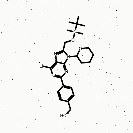 CC(C)(C)[Si](C)(C)OCc1nc2c(Cl)nc(-c3ccc(CO)cc3)nc2n1C1CCCCO1